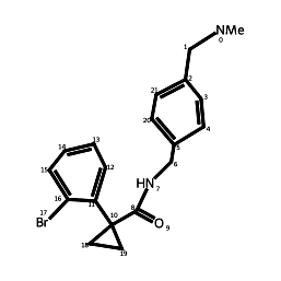 CNCc1ccc(CNC(=O)C2(c3ccccc3Br)CC2)cc1